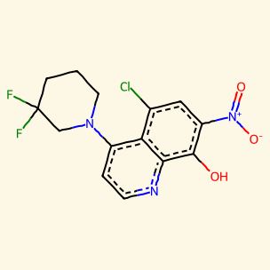 O=[N+]([O-])c1cc(Cl)c2c(N3CCCC(F)(F)C3)ccnc2c1O